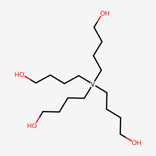 OCCC[CH2][V]([CH2]CCCO)([CH2]CCCO)[CH2]CCCO